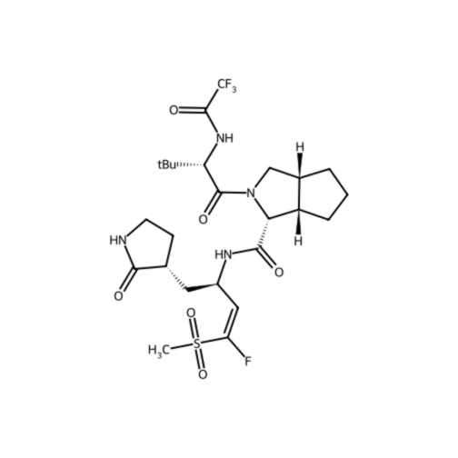 CC(C)(C)[C@H](NC(=O)C(F)(F)F)C(=O)N1C[C@@H]2CCC[C@@H]2[C@@H]1C(=O)N[C@@H](/C=C(/F)S(C)(=O)=O)C[C@H]1CCNC1=O